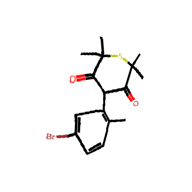 Cc1ccc(Br)cc1C1C(=O)C(C)(C)SC(C)(C)C1=O